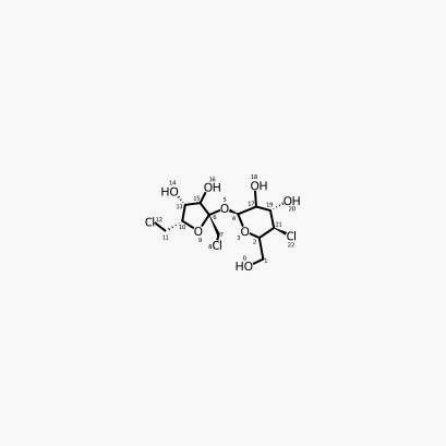 OCC1O[C@@H](O[C@]2(CCl)O[C@H](CCl)[C@H](O)C2O)C(O)[C@H](O)[C@H]1Cl